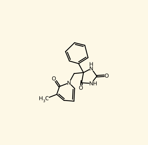 Cc1cccn(CC2(c3ccccc3)NC(=O)NC2=O)c1=O